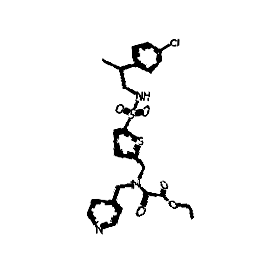 CCOC(=O)C(=O)N(Cc1ccncc1)Cc1ccc(S(=O)(=O)NCC(C)c2ccc(Cl)cc2)s1